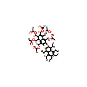 CCc1c(CC)c(CC)c2c(CC)c(Oc3cc(COC(C)=O)c4c(COC(C)=O)c(COC(C)=O)c(COC(C)=O)c(COC(C)=O)c4c3COC(C)=O)cc(CC)c2c1CC